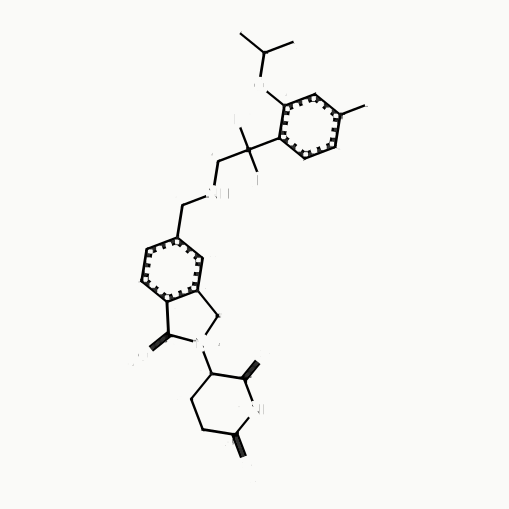 CC(C)Oc1cc(F)ccc1C(F)(F)CNCc1ccc2c(c1)CN(C1CCC(=O)NC1=O)C2=O